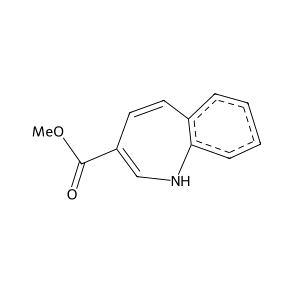 COC(=O)C1=CNc2ccccc2C=C1